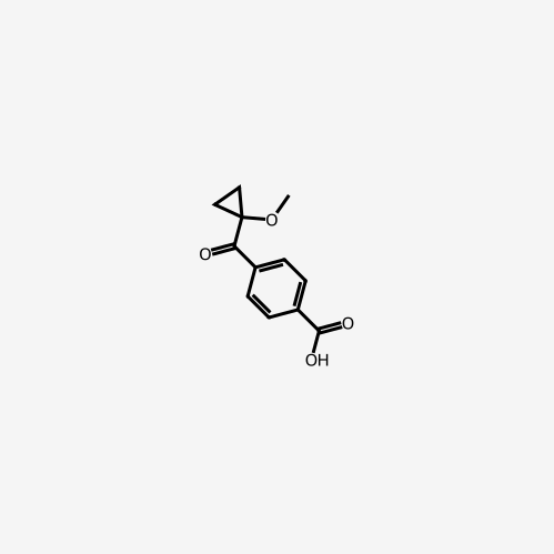 COC1(C(=O)c2ccc(C(=O)O)cc2)CC1